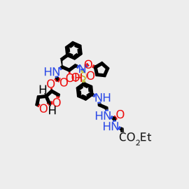 CCOC(=O)CNC(=O)NCCNc1cccc(S(=O)(=O)N(C[C@@H](O)[C@H](Cc2ccccc2)NC(=O)O[C@H]2CO[C@H]3OCC[C@H]32)OC2CCCC2)c1